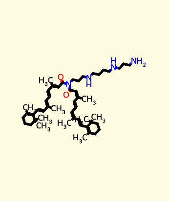 CC(C=CC1=C(C)CCCC1(C)C)=CC=CC(C)=CC(=O)N(CCCNCCCCNCCCN)C(=O)C=C(C)C=CC=C(C)C=CC1=C(C)CCCC1(C)C